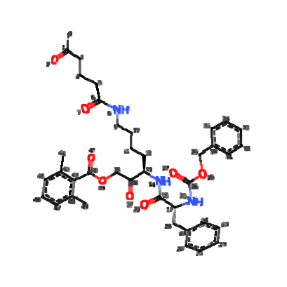 CC(=O)CCCC(=O)NCCCC[C@@H](NC(=O)[C@@H](Cc1ccccc1)NC(=O)OCc1ccccc1)C(=O)COC(=O)c1c(C)cccc1C